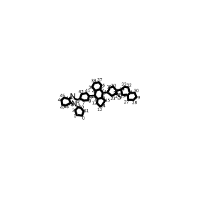 c1ccc(-n2c(-c3ccc(-c4c5ccccc5c(-c5ccc6c(c5)sc5c7ccccc7ccc65)c5ccccc45)cc3)nc3ccccc32)cc1